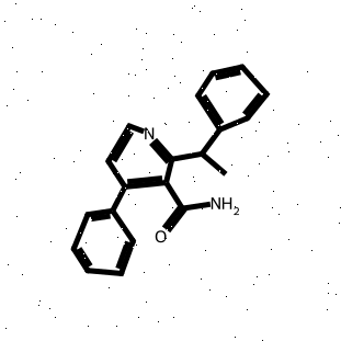 CC(c1ccccc1)c1nccc(-c2ccccc2)c1C(N)=O